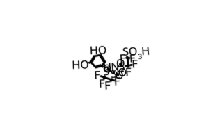 O=S(=O)(O)C(F)(F)C(F)(F)S(=O)(=O)NS(=O)(=O)C(F)(F)C(F)(F)Sc1cc(O)cc(O)c1